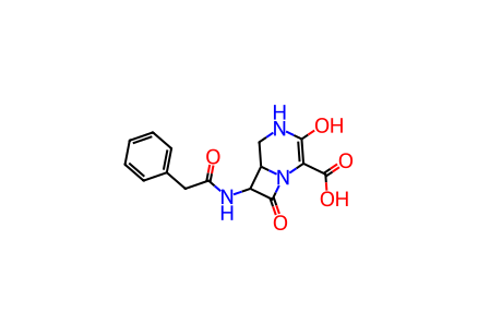 O=C(Cc1ccccc1)NC1C(=O)N2C(C(=O)O)=C(O)NCC12